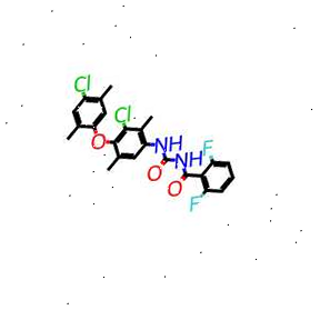 Cc1cc(Oc2c(C)cc(NC(=O)NC(=O)c3c(F)cccc3F)c(C)c2Cl)c(C)cc1Cl